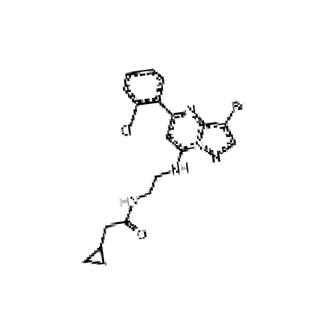 O=C(CC1CC1)NCCNc1cc(-c2ccccc2Cl)nc2c(Br)cnn12